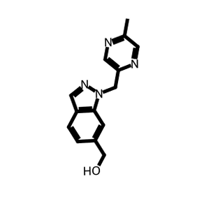 Cc1cnc(Cn2ncc3ccc(CO)cc32)cn1